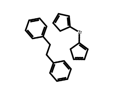 C1=CC[C]([Zr][C]2=CC=CC2)=C1.c1ccc(CCc2ccccc2)cc1